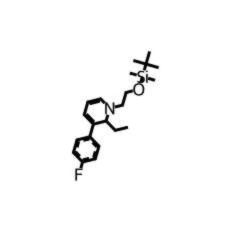 CCC1C(c2ccc(F)cc2)=CC=CN1CCO[Si](C)(C)C(C)(C)C